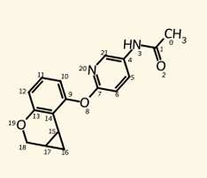 CC(=O)Nc1ccc(Oc2cccc3c2C2CC2CO3)nc1